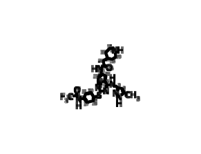 Cc1cc(Nc2nc(Sc3ccc(NC(=O)C(F)(F)F)cc3)nn3cc(NC(=O)CC4CCNCC4)cc23)n[nH]1